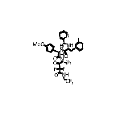 COc1ccc(C(NC(=O)C(Cc2cccc(C)c2)NC(=O)c2ccccn2)C(=O)N[C@H](C(=O)C(F)(F)C(=O)NCC(F)(F)F)C(C)C)cc1